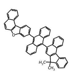 CC1(C)c2ccccc2-c2c1cc(-c1c3ccccc3c(-c3ccc4c(c3)oc3ccc5ccccc5c34)c3ccccc13)c1ccccc21